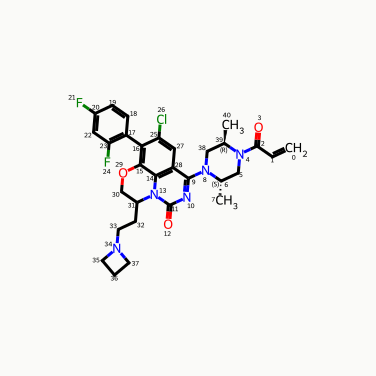 C=CC(=O)N1C[C@H](C)N(c2nc(=O)n3c4c(c(-c5ccc(F)cc5F)c(Cl)cc24)OCC3CCN2CCC2)C[C@H]1C